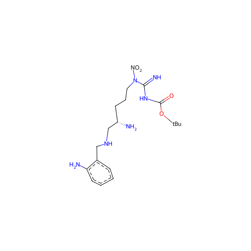 CC(C)(C)OC(=O)NC(=N)N(CCC[C@H](N)CNCc1ccccc1N)[N+](=O)[O-]